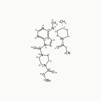 C[C@@H]1CCN(C(=O)CC#N)C[C@@H]1N(C)c1ncnc2c1ccn2C(=O)N1CCN(C(=O)OC(C)(C)C)CC1